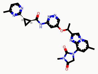 Cc1cc(N2CC(=O)N(C)C2=O)c2nc(C(C)Oc3cnnc(NC(=O)[C@H]4C[C@@H]4c4nccc(C)n4)c3)cn2c1